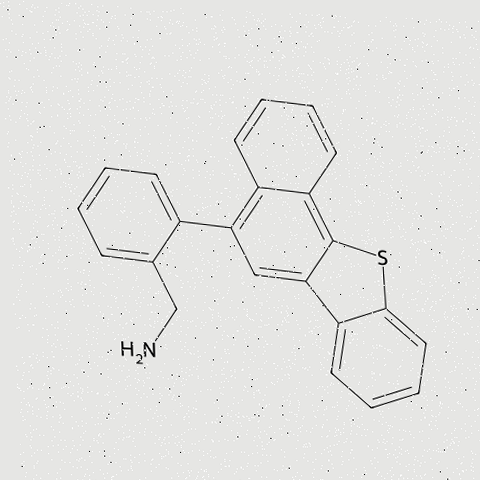 NCc1ccccc1-c1cc2c3ccccc3sc2c2ccccc12